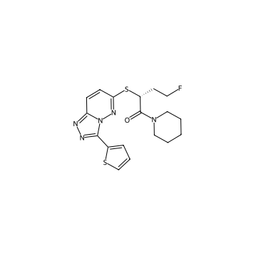 O=C([C@@H](CCF)Sc1ccc2nnc(-c3cccs3)n2n1)N1CCCCC1